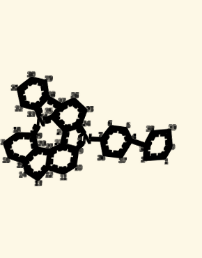 c1ccc(-c2ccc(-n3c4ccc5ccc6cccc7c6c5c4c4c3ccc3c5ccccc5n7c34)cc2)cc1